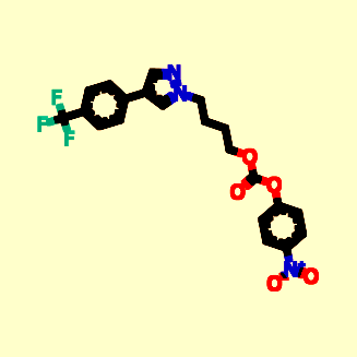 O=C(OCCCCn1cc(-c2ccc(C(F)(F)F)cc2)cn1)Oc1ccc([N+](=O)[O-])cc1